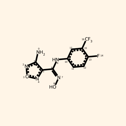 Nc1nonc1/C(=N\O)Nc1ccc(F)c(C(F)(F)F)c1